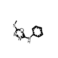 CSc1nnc(Nc2ccccc2)o1